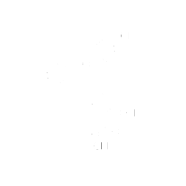 COC(=O)c1ccc(CCc2cc(C)ccc2OCc2ccccc2)cc1O